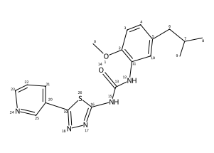 COc1ccc(CC(C)C)cc1NC(=O)Nc1nnc(-c2cccnc2)s1